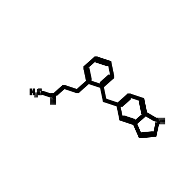 CNCCc1ccccc1Cc1ccc2[nH]ccc2c1